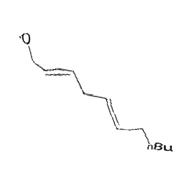 CCCCC/C=C/C/C=C/[O]